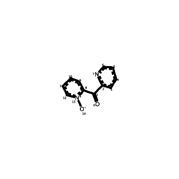 O=C(c1ccccn1)c1cccc[n+]1[O-]